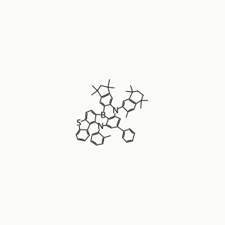 Cc1cc2c(cc1N1c3cc4c(cc3B3c5ccc6sc7ccccc7c6c5N(c5ccccc5C)c5cc(-c6ccccc6)cc1c53)C(C)(C)CC4(C)C)C(C)(C)CCC2(C)C